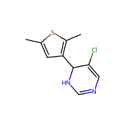 Cc1cc(C2NC=NC=C2Cl)c(C)s1